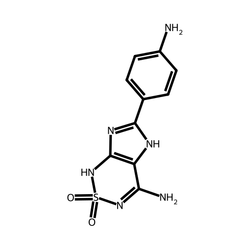 NC1=NS(=O)(=O)Nc2nc(-c3ccc(N)cc3)[nH]c21